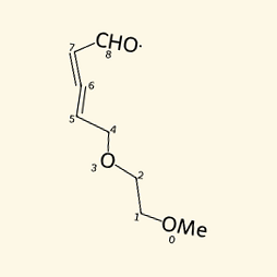 COCCOCC=C=C[C]=O